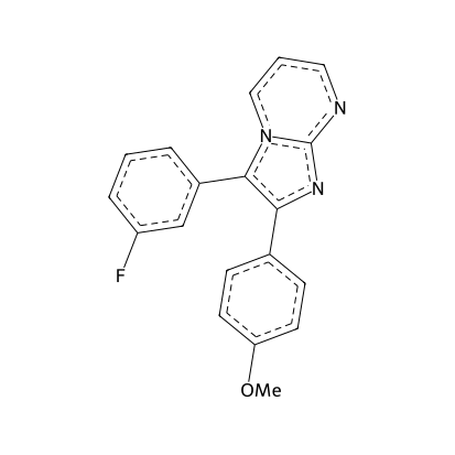 COc1ccc(-c2nc3ncccn3c2-c2cccc(F)c2)cc1